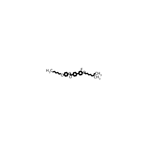 CCCCCCCOc1ccc(OC(=O)c2ccc(-c3ccc(OCCCCCC(C)CC)c(F)c3)cc2)cc1